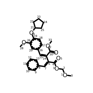 COCOC(=O)C(=C/c1ccccc1)/C(=C/c1ccc(OC2CCCC2)c(OC)c1)C(=O)OC